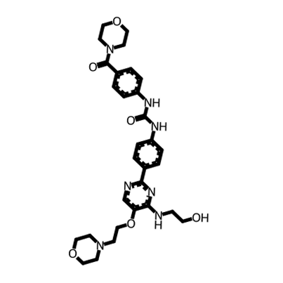 O=C(Nc1ccc(C(=O)N2CCOCC2)cc1)Nc1ccc(-c2ncc(OCCN3CCOCC3)c(NCCO)n2)cc1